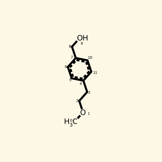 COCCc1ccc(CO)cc1